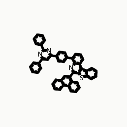 c1ccc(-c2cc(-c3ccc(-c4cccc5c4nc(-c4cc6ccccc6c6ccccc46)c4sc6ccccc6c45)cc3)nc(-c3ccccc3)n2)cc1